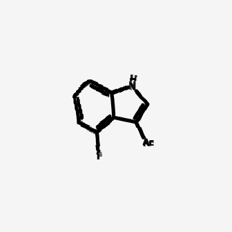 CC(=O)c1c[nH]c2cccc(F)c12